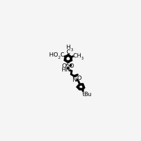 Cc1cc(S(=O)(=O)NCCc2coc(-c3ccc(C(C)(C)C)cc3)n2)cc(C(=O)O)c1C